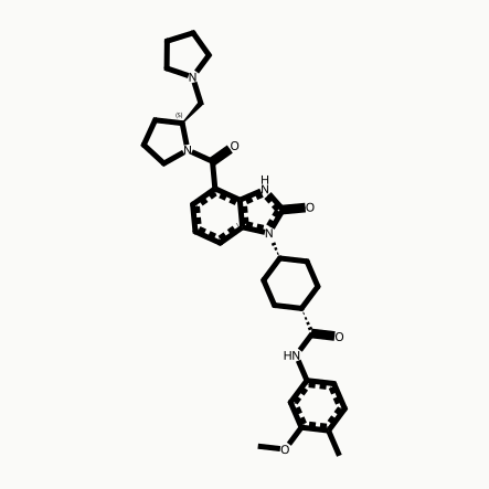 COc1cc(NC(=O)[C@H]2CC[C@@H](n3c(=O)[nH]c4c(C(=O)N5CCC[C@H]5CN5CCCC5)cccc43)CC2)ccc1C